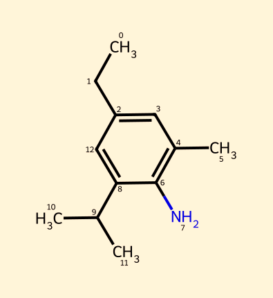 CCc1cc(C)c(N)c(C(C)C)c1